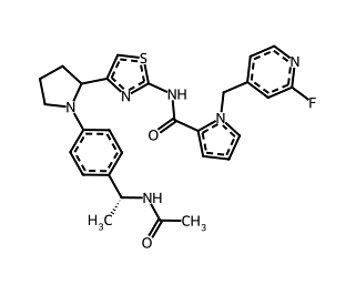 CC(=O)N[C@H](C)c1ccc(N2CCCC2c2csc(NC(=O)c3cccn3Cc3ccnc(F)c3)n2)cc1